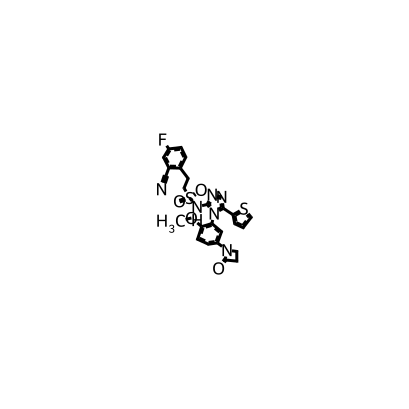 COc1ccc(N2CCC2=O)cc1-n1c(NS(=O)(=O)CCc2ccc(F)cc2C#N)nnc1-c1cccs1